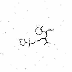 CO/C(=C/C(CCCCC(F)(F)C1CCNC1)=C(C)C)C1=C(C)NCCC1